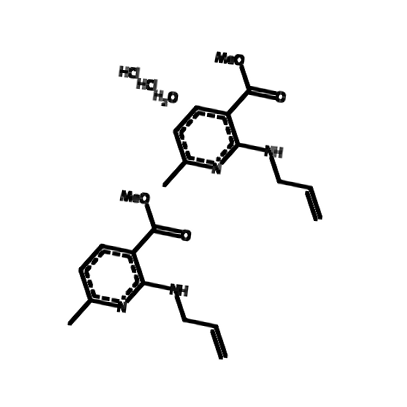 C=CCNc1nc(C)ccc1C(=O)OC.C=CCNc1nc(C)ccc1C(=O)OC.Cl.Cl.O